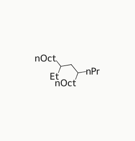 CCCCCCCCC(CC)CC(CCC)CCCCCCCC